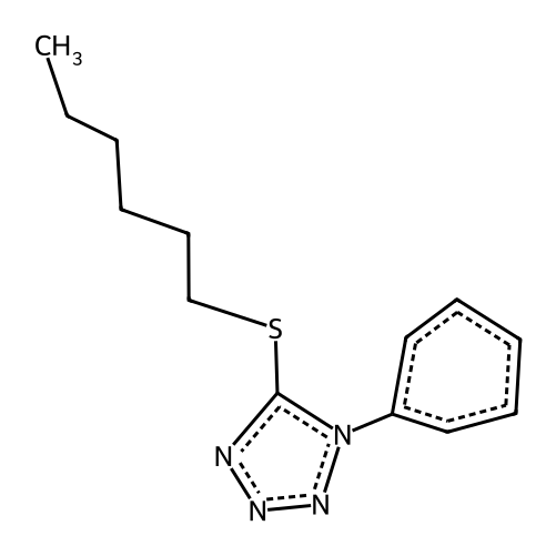 CCCCCCSc1nnnn1-c1ccccc1